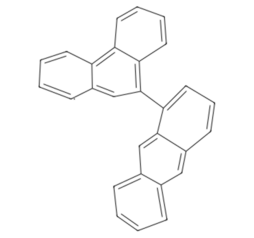 [c]1cccc2c1cc(-c1cccc3cc4ccccc4cc13)c1ccccc12